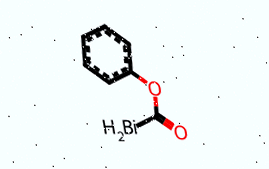 O=[C]([BiH2])Oc1ccccc1